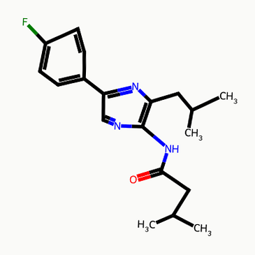 CC(C)CC(=O)Nc1ncc(-c2ccc(F)cc2)nc1CC(C)C